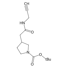 C#CCNC(=O)CC1CCN(C(=O)OC(C)(C)C)C1